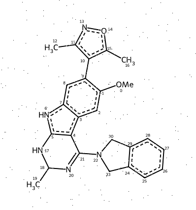 COc1cc2c3c([nH]c2cc1-c1c(C)noc1C)NC(C)N=C3N1Cc2ccccc2C1